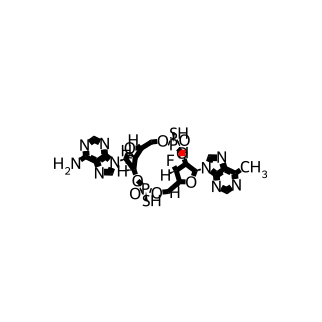 Cc1ncnc2c1ncn2[C@@H]1O[C@@H]2CO[P@@](=O)(S)O[C@@H]3[C@H](F)[C@@H](CO[P@@](=O)(S)O[C@@H]1[C@@H]2F)O[C@H]3n1cnc2c(N)ncnc21